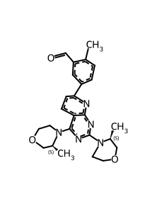 Cc1ccc(-c2ccc3c(N4CCOC[C@@H]4C)nc(N4CCOC[C@@H]4C)nc3n2)cc1C=O